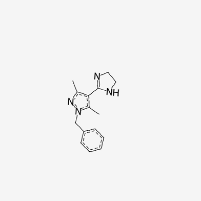 Cc1nn(Cc2ccccc2)c(C)c1C1=NCCN1